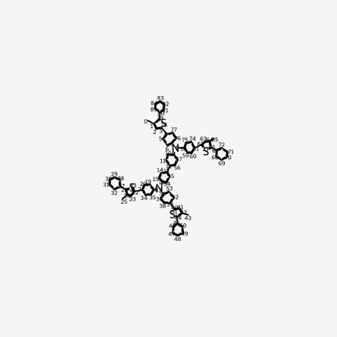 Cc1cc(-c2ccc(N(c3ccc(-c4ccc(N(c5ccc(-c6cc(C)c(-c7ccccc7)s6)cc5)c5ccc(-c6cc(C)c(-c7ccccc7)s6)cc5)cc4)cc3)c3ccc(-c4cc(C)c(-c5ccccc5)s4)cc3)cc2)sc1-c1ccccc1